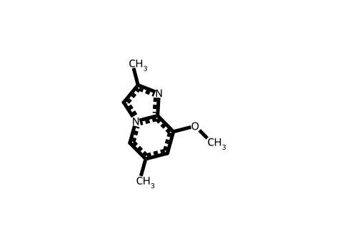 COc1cc(C)cn2cc(C)nc12